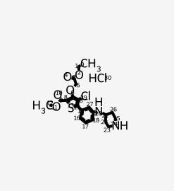 CCOC(=O)COc1c(C(=O)OC)sc(-c2cccc(NC3CCNCC3)c2)c1Cl.Cl